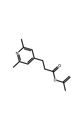 C=C(C)OC(=O)CCc1cc(C)nc(C)c1